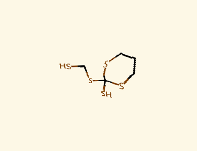 SCSC1(S)SCCCS1